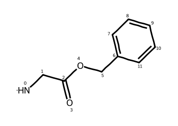 [NH]CC(=O)OCc1ccccc1